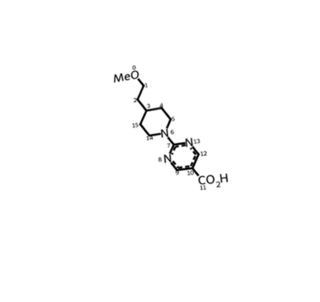 COCCC1CCN(c2ncc(C(=O)O)cn2)CC1